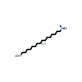 CCCCCCCCCCCCCCCCCCCCCCCCCCN(C)CC.Cl